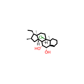 CC[C@@H]1[C@H](C)C[C@H]2[C@@H]3[C@@H](O)[C@@H](O)C4=CCCC[C@]4(C)[C@@]3(Cl)CC[C@]12C